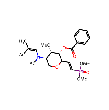 CO[C@@H]1[C@H](OC(=O)c2ccccc2)C(/C=C/P(=O)(OC)OC)OC[C@H]1N(/C=C(/C)C(C)=O)C(C)=O